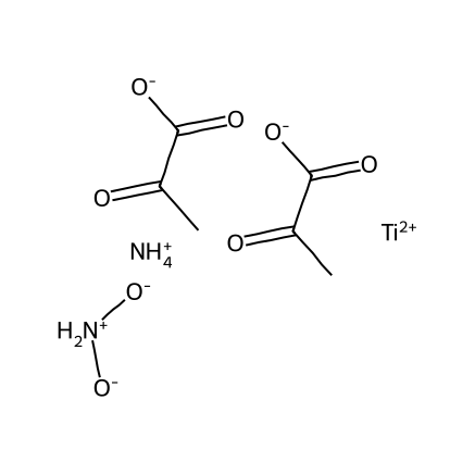 CC(=O)C(=O)[O-].CC(=O)C(=O)[O-].[NH4+].[O-][NH2+][O-].[Ti+2]